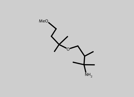 COCCC(C)(C)OCC(C)C(C)(C)N